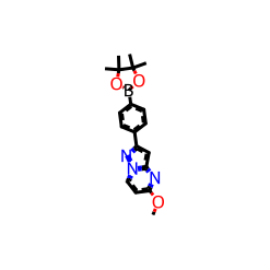 COc1ccn2nc(-c3ccc(B4OC(C)(C)C(C)(C)O4)cc3)cc2n1